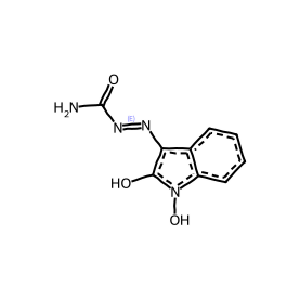 NC(=O)/N=N/c1c(O)n(O)c2ccccc12